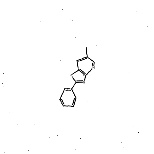 Cc1cnc2nc(-c3ccccc3)oc2c1